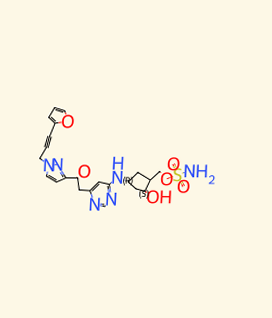 NS(=O)(=O)OCC1C[C@@H](Nc2cc(CC(=O)c3ccn(CC#Cc4ccco4)n3)ncn2)C[C@@H]1O